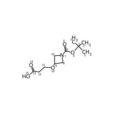 CC(C)(C)OC(=O)N1CC(OCCC(=O)O)C1